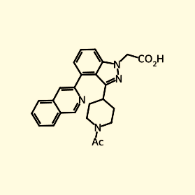 CC(=O)N1CCC(c2nn(CC(=O)O)c3cccc(-c4cc5ccccc5cn4)c23)CC1